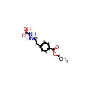 CCOC(=O)c1ccc(CCNNC(=O)O)cc1